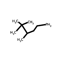 CC(CCP)C(C)(C)C